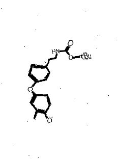 Cc1cc(Oc2ccc(CCNC(=O)OC(C)(C)C)cc2)ccc1Cl